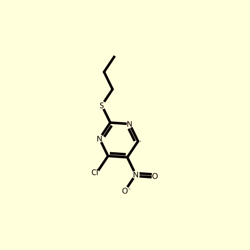 CCCSc1n[c]c([N+](=O)[O-])c(Cl)n1